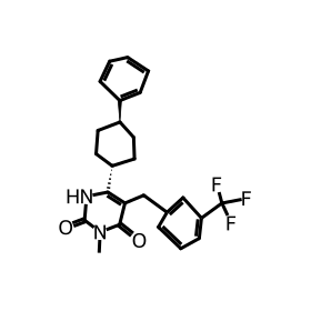 Cn1c(=O)[nH]c([C@H]2CC[C@H](c3ccccc3)CC2)c(Cc2cccc(C(F)(F)F)c2)c1=O